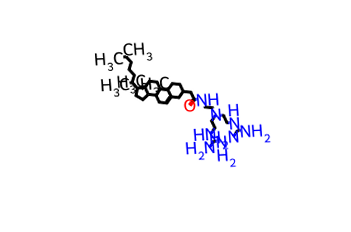 CC(C)CCCC(C)C1CCC2C3CC=C4CC(CC(=O)NCCN(CCNC(N)N)CCNC(N)N)CCC4(C)C3CCC12C